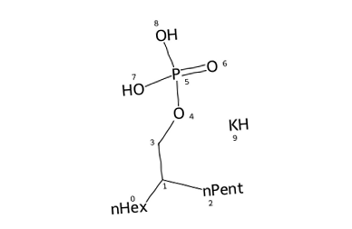 CCCCCCC(CCCCC)COP(=O)(O)O.[KH]